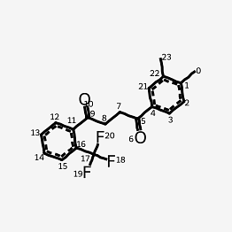 Cc1ccc(C(=O)CCC(=O)c2ccccc2C(F)(F)F)cc1C